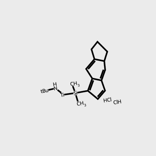 CC(C)(C)[NH][Ti][Si](C)(C)C1=C2C=C3CCCC3C=C2C=C1.Cl.Cl